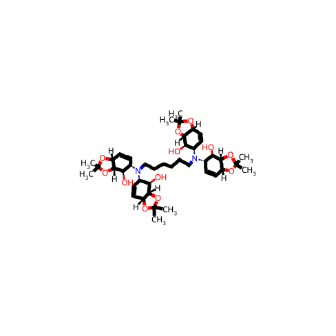 CC1(C)O[C@H]2[C@H](O)[C@@H](N(CCCCCCN([C@H]3C=C[C@H]4OC(C)(C)O[C@H]4[C@@H]3O)[C@H]3C=C[C@H]4OC(C)(C)O[C@H]4[C@@H]3O)[C@H]3C=C[C@H]4OC(C)(C)O[C@H]4[C@@H]3O)C=C[C@H]2O1